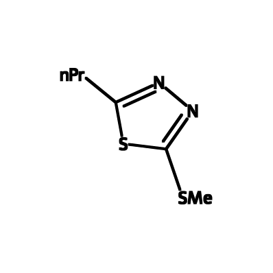 [CH2]Sc1nnc(CCC)s1